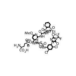 CCS(=O)(=O)c1cccnc1S(=O)(=O)NC(=O)Nc1nc(OC)cc(OC)n1.CP(=O)(O)CCC(N)C(=O)O.Cc1nn(-c2cc(NS(C)(=O)=O)c(Cl)cc2Cl)c(=O)n1C(F)F